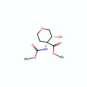 CC(C)(C)OC(=O)N[C@]1(C(=O)OC(C)(C)C)CCOC[C@@H]1O